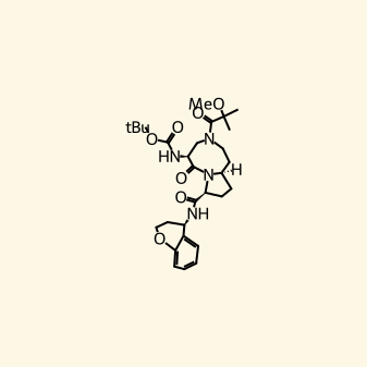 COC(C)(C)C(=O)N1CC[C@H]2CC[C@@H](C(=O)N[C@@H]3CCOc4ccccc43)N2C(=O)[C@@H](NC(=O)OC(C)(C)C)C1